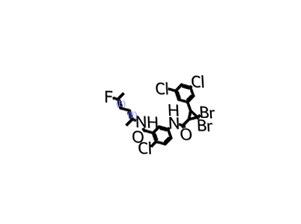 C/C(F)=C\C=C(/C)NC(=O)c1cc(NC(=O)C2C(c3cc(Cl)cc(Cl)c3)C2(Br)Br)ccc1Cl